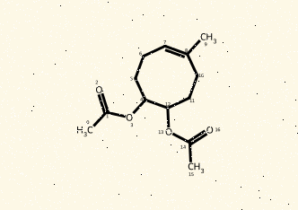 CC(=O)OC1CC/C=C(/C)CCC1OC(C)=O